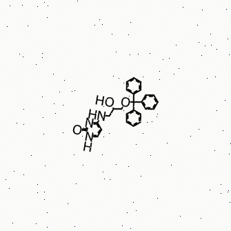 O=c1nc(NCC(O)COC(c2ccccc2)(c2ccccc2)c2ccccc2)cc[nH]1